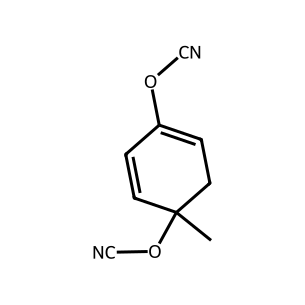 CC1(OC#N)C=CC(OC#N)=CC1